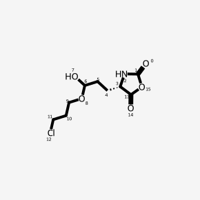 O=C1N[C@@H](CCC(O)OCCCCl)C(=O)O1